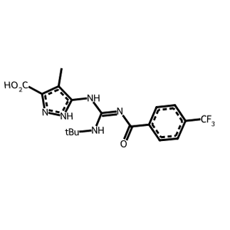 Cc1c(C(=O)O)n[nH]c1NC(=NC(=O)c1ccc(C(F)(F)F)cc1)NC(C)(C)C